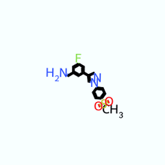 CS(=O)(=O)c1ccc(-n2cc(-c3cc(F)cc(CN)c3)cn2)cc1